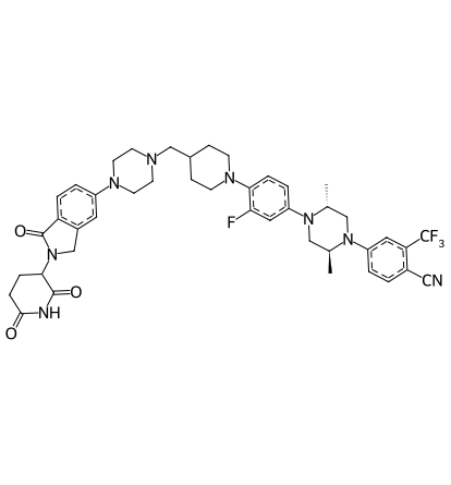 C[C@@H]1CN(c2ccc(C#N)c(C(F)(F)F)c2)[C@@H](C)CN1c1ccc(N2CCC(CN3CCN(c4ccc5c(c4)CN(C4CCC(=O)NC4=O)C5=O)CC3)CC2)c(F)c1